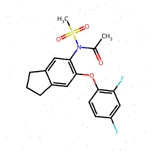 CC(=O)N(c1cc2c(cc1Oc1ccc(F)cc1F)CCC2)S(C)(=O)=O